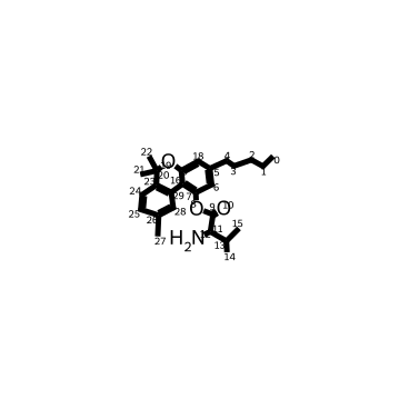 CCCCCc1cc(OC(=O)C(N)C(C)C)c2c(c1)OC(C)(C)c1ccc(C)cc1-2